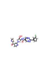 O=C(N[C@H]1CN(c2cc(C(=O)c3nccs3)ccn2)C[C@H]1O)c1cnc(-c2cccc(F)c2)nc1